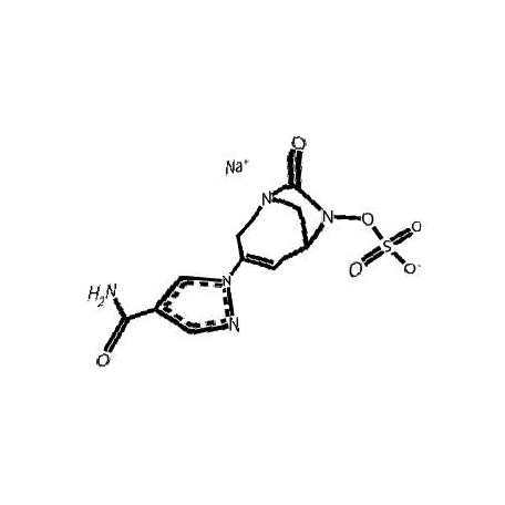 NC(=O)c1cnn(C2=CC3CN(C2)C(=O)N3OS(=O)(=O)[O-])c1.[Na+]